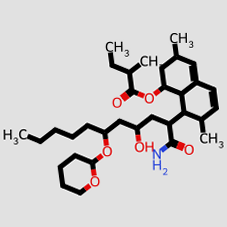 CCCCCC(CC(O)CC(C(N)=O)C1C(C)C=CC2=CC(C)CC(OC(=O)C(C)CC)C21)OC1CCCCO1